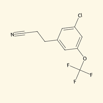 N#CCCc1cc(Cl)cc(OC(F)(F)F)c1